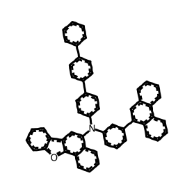 c1ccc(-c2ccc(-c3ccc(N(c4cccc(-c5cc6ccccc6c6ccccc56)c4)c4cc5c6ccccc6oc5c5ccccc45)cc3)cc2)cc1